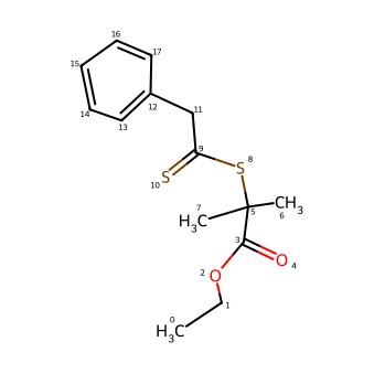 CCOC(=O)C(C)(C)SC(=S)Cc1ccccc1